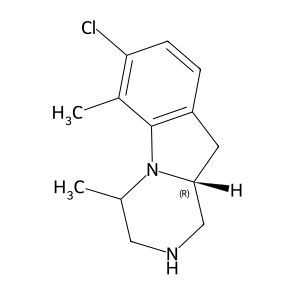 Cc1c(Cl)ccc2c1N1C(C)CNC[C@H]1C2